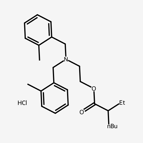 CCCCC(CC)C(=O)OCCN(Cc1ccccc1C)Cc1ccccc1C.Cl